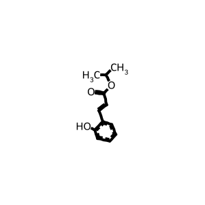 CC(C)OC(=O)C=Cc1ccccc1O